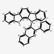 c1ccc(-c2nc3ccccc3nc2-n2c3ccccc3c3ccc4c5ccccc5sc4c32)cc1